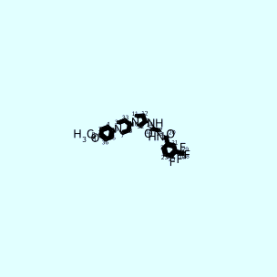 COc1ccc(N2CCC(N3CC[C@@H](NC(=O)CNC(=O)c4ccc(F)c(C(F)(F)F)c4)C3)CC2)cc1